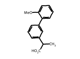 COc1ccccc1-c1cccc(C(C)C(=O)O)c1